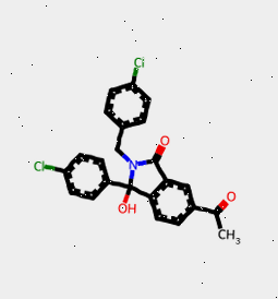 CC(=O)c1ccc2c(c1)C(=O)N(Cc1ccc(Cl)cc1)C2(O)c1ccc(Cl)cc1